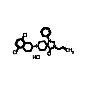 C=CCN1CN(c2ccccc2)C2(CCN(C3CCc4c(Cl)ccc(Cl)c4C3)CC2)C1=O.Cl